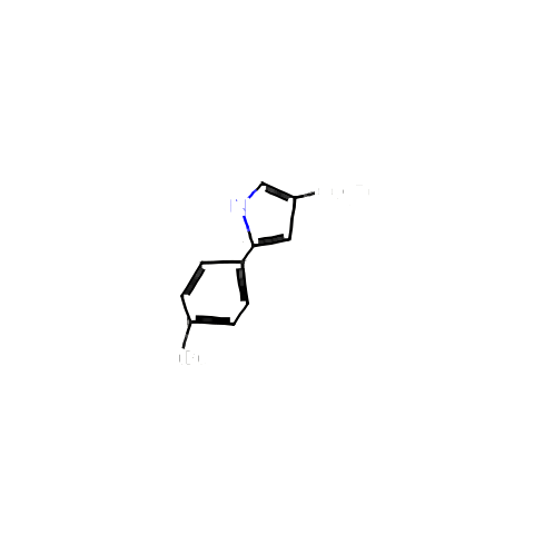 CCOC(=O)c1c[nH]c(-c2ccc(C(C)(C)C)cc2)c1